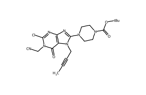 [C-]#[N+]Cn1c(Cl)nc2nc(N3CCN(C(=O)OC(C)(C)C)CC3)n(CC#CC)c2c1=O